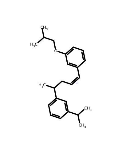 CC(C)COc1cccc(/C=C\CC(C)c2cccc(C(C)C)c2)c1